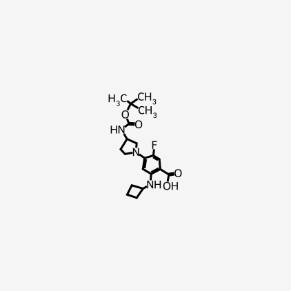 CC(C)(C)OC(=O)NC1CCN(c2cc(NC3CCC3)c(C(=O)O)cc2F)C1